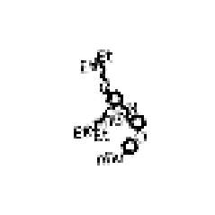 CCCCc1ccc(Oc2ccc3nc(-c4ccc(OCCCN(CC)CC)cc4OCCCN(CC)CC)n(CCCC)c3c2)cc1